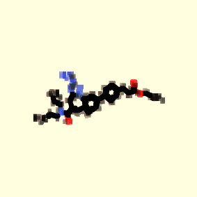 CCCN(CCC)C(=O)C1=Cc2ccc(-c3ccc(CCC(=O)OCC)cc3)cc2NC(N=NN)C1